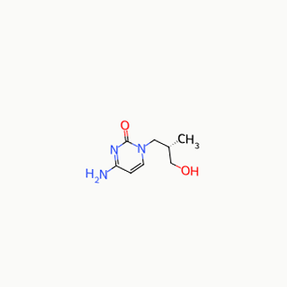 C[C@H](CO)Cn1ccc(N)nc1=O